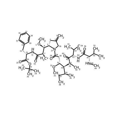 C=C1C[C@@H]([C@H](OC)[C@@H](C)C(=O)N[C@@H](Cc2ccccc2)C(=O)OC(C)(C)C)N(C(=O)C[C@@H](OC)[C@H]([C@@H](C)CC)N(C)C(=O)[C@@H](NC(=O)[C@@H](NC)C(C)C)C(C)C)C1